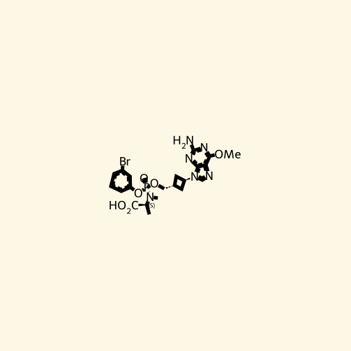 COc1nc(N)nc2c1ncn2[C@H]1C[C@@H](COP(=O)(Oc2cccc(Br)c2)N(C)[C@@H](C)C(=O)O)C1